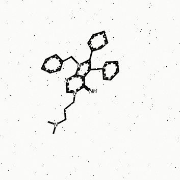 CN(C)CCCn1cnc2c(c(-c3ccccc3)c(-c3ccccc3)n2Cc2ccccc2)c1=N